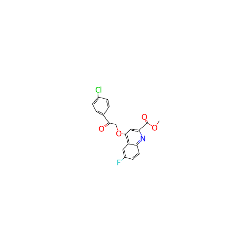 COC(=O)c1cc(OCC(=O)c2ccc(Cl)cc2)c2cc(F)ccc2n1